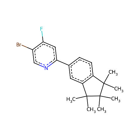 CC1(C)c2ccc(-c3cc(F)c(Br)cn3)cc2C(C)(C)C1(C)C